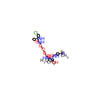 Cc1ncsc1-c1ccc(CNC(=O)[C@@H]2C[C@@H](O)CN2C(=O)[C@@H](NC(=O)CCOCCOCCOCCNC(=O)c2[nH]c3ccc(Cl)cc3c2-c2ccccc2)C(C)(C)C)cc1